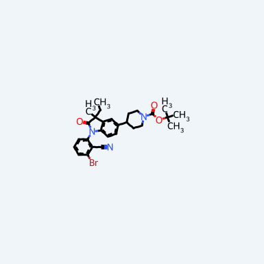 CCC1(C)C(=O)N(c2cccc(Br)c2C#N)c2ccc(C3CCN(C(=O)OC(C)(C)C)CC3)cc21